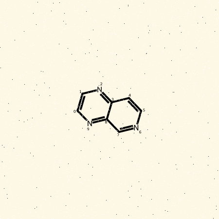 [c]1cnc2ccncc2n1